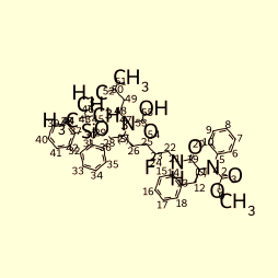 COC(=O)N(c1ccccc1)[C@@H](Cc1ccccc1)C(=O)NCC(F)CC[C@@H](CO[Si](c1ccccc1)(c1ccccc1)C(C)(C)C)N(CCC(C)C)C(=O)O